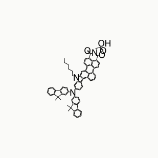 CCCCCCn1c2cc(N(c3ccc4c(c3)C(C)(C)c3ccccc3-4)c3ccc4c(c3)C(C)(C)c3ccccc3-4)ccc2c2c3cccc4c5ccc6c7c(ccc(c(cc21)c43)c75)C(=O)N(CC(=O)O)C6=O